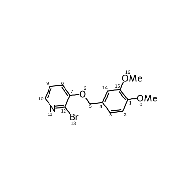 COc1ccc(COc2cccnc2Br)cc1OC